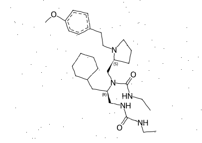 CCNC(=O)NC[C@@H](CC1CCCCC1)N(C[C@@H]1CCCN1CCc1ccc(OC)cc1)C(=O)NCC